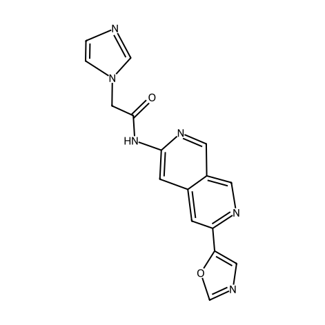 O=C(Cn1ccnc1)Nc1cc2cc(-c3cnco3)ncc2cn1